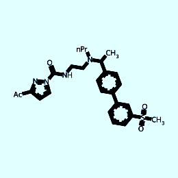 CCCN(CCNC(=O)n1ccc(C(C)=O)n1)C(C)c1ccc(-c2cccc(S(C)(=O)=O)c2)cc1